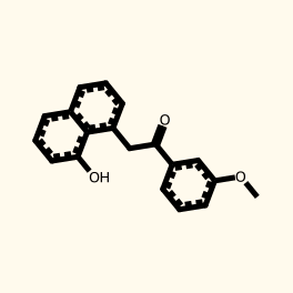 COc1cccc(C(=O)Cc2cccc3cccc(O)c23)c1